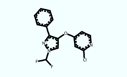 FC(F)n1cc(Oc2ccnc(Cl)c2)c(-c2ccccc2)n1